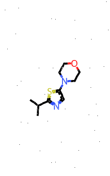 CC(C)c1ncc(N2CCOCC2)s1